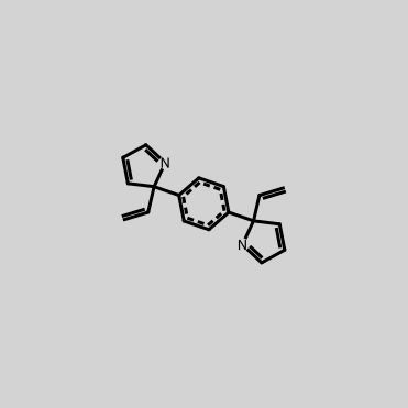 C=CC1(c2ccc(C3(C=C)C=CC=N3)cc2)C=CC=N1